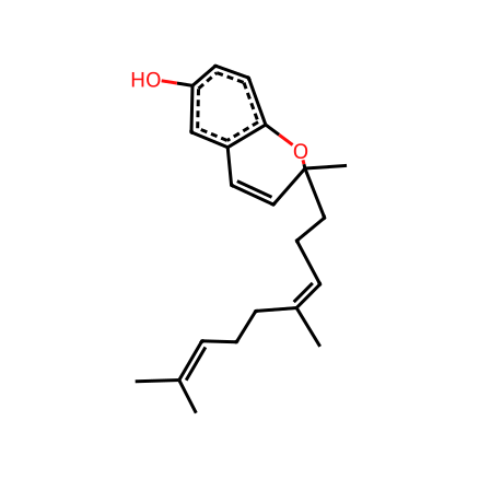 CC(C)=CCCC(C)=CCCC1(C)C=Cc2cc(O)ccc2O1